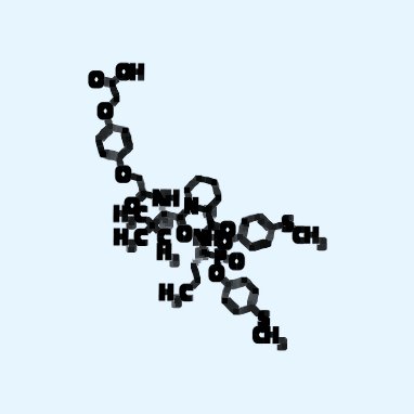 CCC[C@H](NC(=O)[C@@H]1CCCCN1C(=O)[C@@H](NC(=O)COc1ccc(OCC(=O)O)cc1)C(C)(C)C)P(=O)(Oc1ccc(SC)cc1)Oc1ccc(SC)cc1